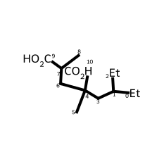 CCC(CC)CC(C)(CC(C)C(=O)O)C(=O)O